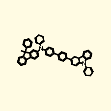 CC1(c2ccccc2)c2ccccc2-c2ccc(N(C3=CCCC=C3)c3ccc(-c4ccc(C5=CC=C6C(C5)c5ccccc5N6C5=CCCC=C5)cc4)cc3)cc21